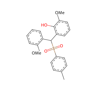 COc1ccccc1C(c1cccc(OC)c1O)S(=O)(=O)c1ccc(C)cc1